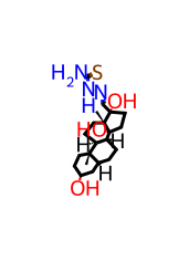 C[C@]12CC[C@H](O)C[C@H]1CC[C@@H]1[C@@H]2CC[C@]2(C)[C@@](O)(/C=N/NC(N)=S)CC[C@]12O